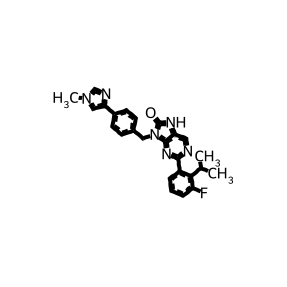 CC(C)c1c(F)cccc1-c1ncc2[nH]c(=O)n(Cc3ccc(-c4cn(C)cn4)cc3)c2n1